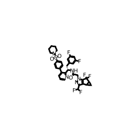 O=C(Cn1nc(C(F)F)c2c1C(F)(F)C1CC21)N[C@@H](Cc1cc(F)cc(F)c1)c1ncccc1-c1ccc(S(=O)(=O)N2CCCCC2)cc1